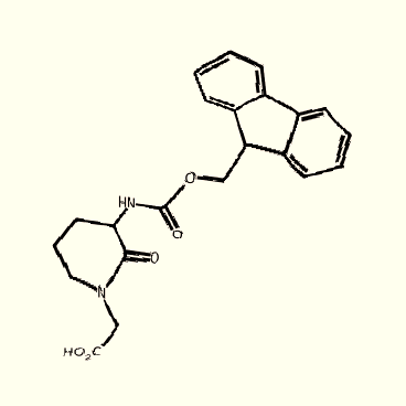 O=C(O)CN1CCCC(NC(=O)OCC2c3ccccc3-c3ccccc32)C1=O